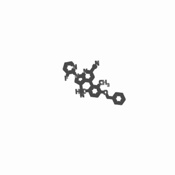 Cc1ccc(OCc2ccccc2)c(C)c1-c1cc(C#N)nc2c1c(C#N)cn2-c1ncccc1F